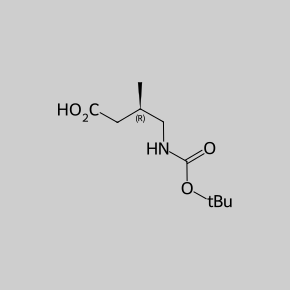 C[C@@H](CNC(=O)OC(C)(C)C)CC(=O)O